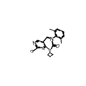 Cc1cccc(C)c1N1Cc2cnc(Cl)nc2N(C2CCC2)C1=O